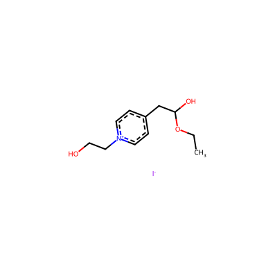 CCOC(O)Cc1cc[n+](CCO)cc1.[I-]